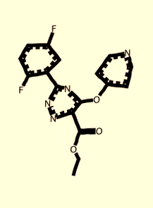 CCOC(=O)c1nnc(-c2cc(F)ccc2F)nc1Oc1ccncc1